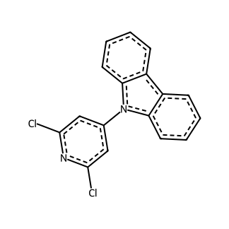 Clc1cc(-n2c3ccccc3c3ccccc32)cc(Cl)n1